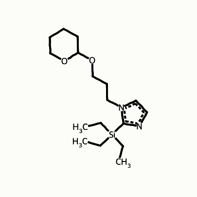 CC[Si](CC)(CC)c1nccn1CCCOC1CCCCO1